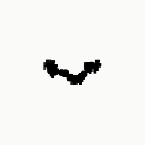 CCCC(COCCCOc1ccc(-c2cc(F)c(C(F)(F)Oc3cc(F)c(F)c(F)c3)c(F)c2)cc1)COCCCOc1ccc(-c2cc(F)c(C(F)(F)Oc3cc(F)c(F)c(F)c3)c(F)c2)cc1